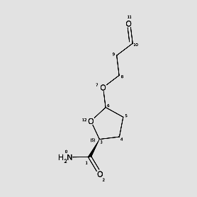 NC(=O)[C@@H]1CCC(OCCC=O)O1